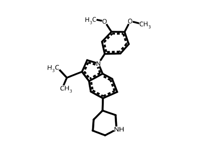 COc1ccc(-n2cc(C(C)C)c3cc(C4CCCNC4)ccc32)cc1OC